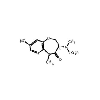 CN1C(=O)[C@@H](N(C)C(=O)O)COc2cc(C#N)cnc21